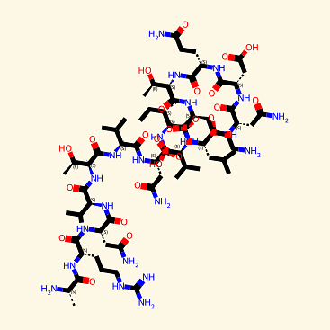 CC[C@H](C)[C@H](NC(=O)[C@H](CC(N)=O)NC(=O)[C@@H](NC(=O)[C@@H](NC(=O)[C@@H](NC(=O)[C@H](CC(N)=O)NC(=O)[C@H](CCCNC(=N)N)NC(=O)[C@H](C)N)C(C)C)[C@@H](C)O)C(C)C)C(=O)N[C@@H](CC(C)C)C(=O)N[C@@H](CC(N)=O)C(=O)N[C@@H](CC(=O)O)C(=O)N[C@@H](CCC(N)=O)C(=O)N[C@H](C(=O)N[C@@H](CCCCN)C(=O)N[C@H](C(=O)O)C(C)C)[C@@H](C)O